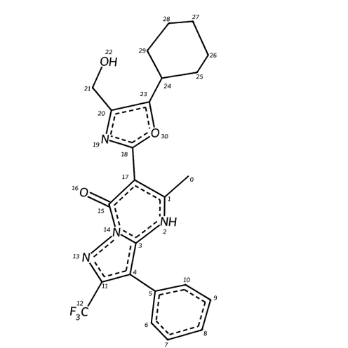 Cc1[nH]c2c(-c3ccccc3)c(C(F)(F)F)nn2c(=O)c1-c1nc(CO)c(C2CCCCC2)o1